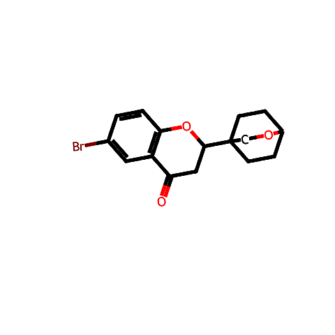 O=C1CC(C23CCC(CC2)OC3)Oc2ccc(Br)cc21